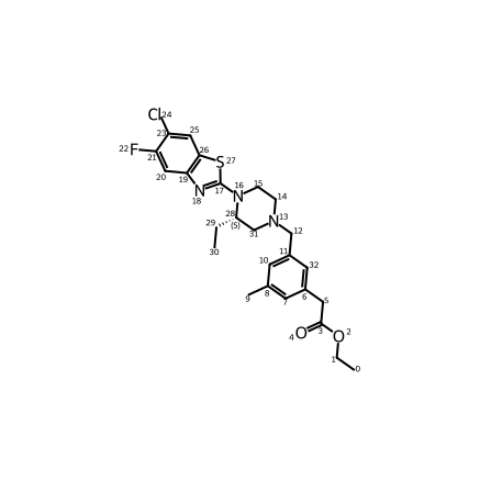 CCOC(=O)Cc1cc(C)cc(CN2CCN(c3nc4cc(F)c(Cl)cc4s3)[C@@H](CC)C2)c1